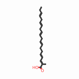 CC/C=C/C/C=C/C/C=C/C/C=C/CC/C=C/C=C(\C)C(=O)O